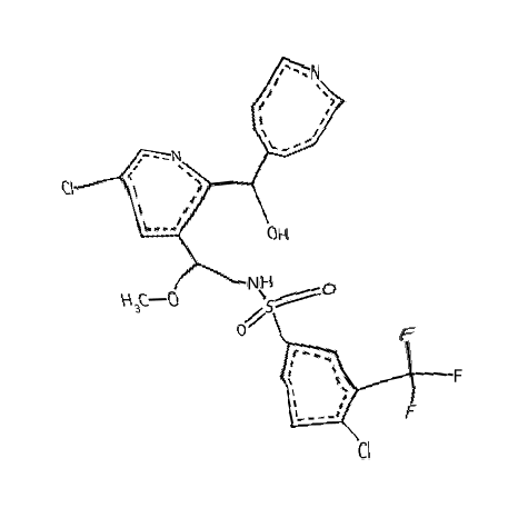 COC(NS(=O)(=O)c1ccc(Cl)c(C(F)(F)F)c1)c1cc(Cl)cnc1C(O)c1ccncc1